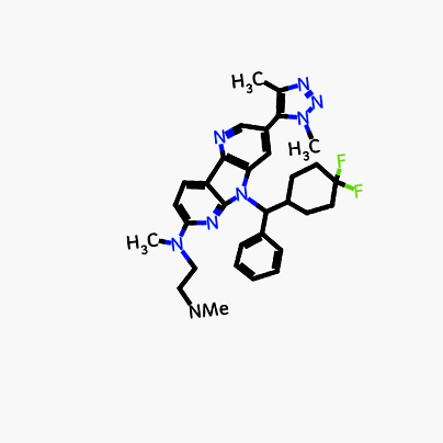 CNCCN(C)c1ccc2c3ncc(-c4c(C)nnn4C)cc3n(C(c3ccccc3)C3CCC(F)(F)CC3)c2n1